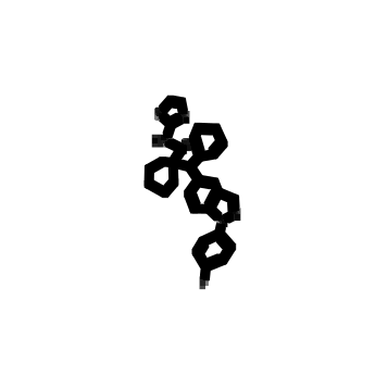 O=C(Nc1nccs1)C1(C(c2ccccc2)c2ccc3c(cnn3-c3ccc(F)cc3)c2)CCCCC1